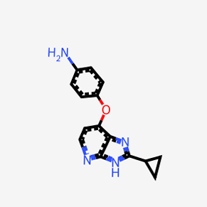 Nc1ccc(Oc2ccnc3[nH]c(C4CC4)nc23)cc1